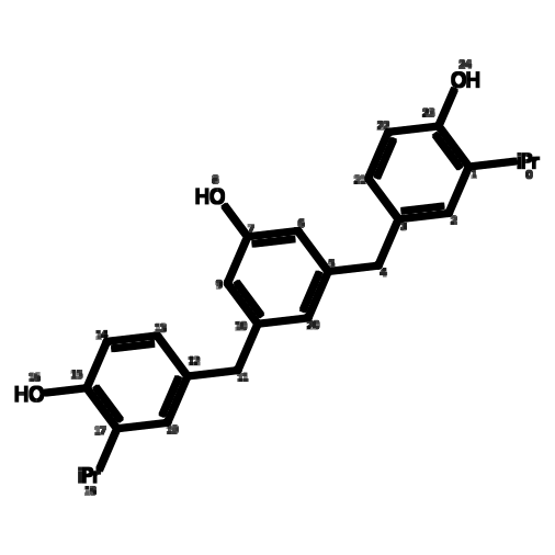 CC(C)c1cc(Cc2cc(O)cc(Cc3ccc(O)c(C(C)C)c3)c2)ccc1O